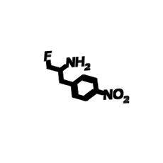 NC(CF)Cc1ccc([N+](=O)[O-])cc1